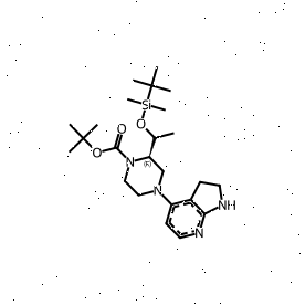 CC(O[Si](C)(C)C(C)(C)C)[C@H]1CN(c2ccnc3c2CCN3)CCN1C(=O)OC(C)(C)C